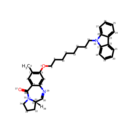 Cc1cc2c(cc1OCCCCCCCCn1c3ccccc3c3ccccc31)N=C[C@@H]1CCCN1C2=O